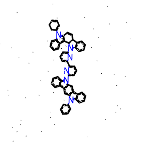 C1=CCCC(n2c3c(c4ccccc42)C2C(C=C3)c3ccccc3N2c2cccc(-c3cccc(-n4c5ccccc5c5cc6c(cc54)c4ccccc4n6-c4ccccc4)n3)n2)=C1